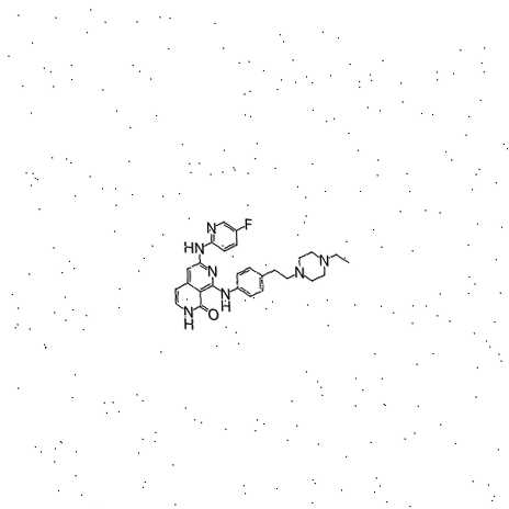 CCN1CCN(CCc2ccc(Nc3nc(Nc4ccc(F)cn4)cc4cc[nH]c(=O)c34)cc2)CC1